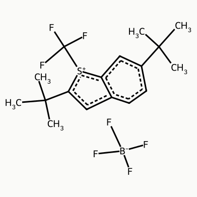 CC(C)(C)c1ccc2cc(C(C)(C)C)[s+](C(F)(F)F)c2c1.F[B-](F)(F)F